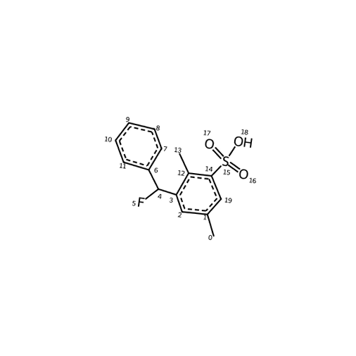 Cc1cc(C(F)c2ccccc2)c(C)c(S(=O)(=O)O)c1